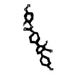 CCOc1ccc(OC(=O)C2CCC(c3ccc(C4CCC(CC)CC4)c(F)c3F)CC2)c(F)c1